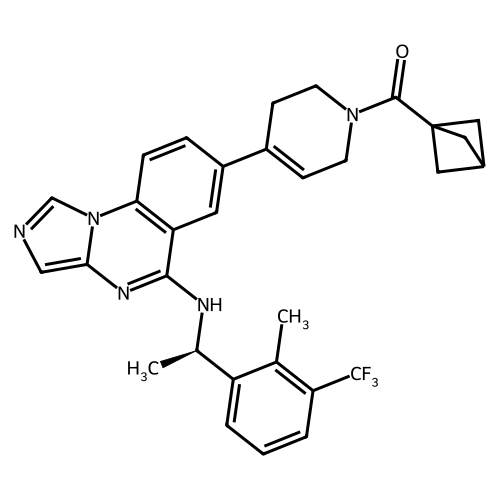 Cc1c([C@@H](C)Nc2nc3cncn3c3ccc(C4=CCN(C(=O)C56CC(C5)C6)CC4)cc23)cccc1C(F)(F)F